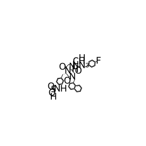 CN(C(=O)NCc1ccc(F)cc1)N1CC(=O)N2[C@@H](Cc3ccc(N[SH](=O)=O)cc3)C(=O)N(Cc3cccc4ccccc34)C[C@@H]21